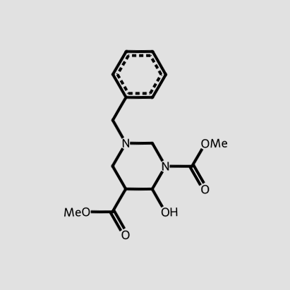 COC(=O)C1CN(Cc2ccccc2)CN(C(=O)OC)C1O